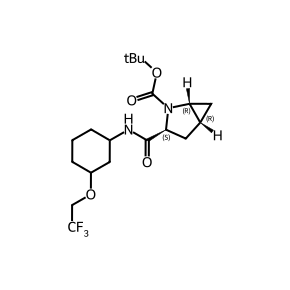 CC(C)(C)OC(=O)N1[C@@H]2C[C@@H]2C[C@H]1C(=O)NC1CCCC(OCC(F)(F)F)C1